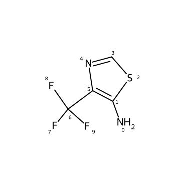 Nc1scnc1C(F)(F)F